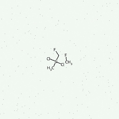 CF.C[Si](Cl)(Cl)CF